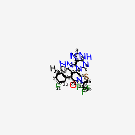 CC(Nc1ncnc2[nH]cnc12)c1cc2scc(C(F)(F)F)n2c(=O)c1-c1cccc(F)c1